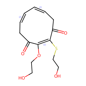 O=C1C/C=C\C=C/CC(=O)/C(SCCO)=C\1OCCO